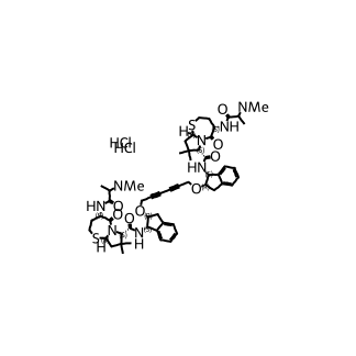 CNC(C)C(=O)N[C@H]1CCS[C@H]2CC(C)(C)[C@@H](C(=O)N[C@H]3c4ccccc4C[C@H]3OCC#CC#CCO[C@@H]3Cc4ccccc4[C@@H]3NC(=O)[C@H]3N4C(=O)[C@@H](NC(=O)C(C)NC)CCS[C@H]4CC3(C)C)N2C1=O.Cl.Cl